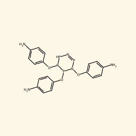 Nc1ccc(On2pn[pH]n(Oc3ccc(N)cc3)p2Oc2ccc(N)cc2)cc1